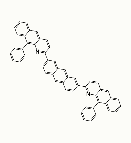 c1ccc(-c2c3ccccc3cc3ccc(-c4ccc5cc6ccc(-c7ccc8cc9ccccc9c(-c9ccccc9)c8n7)cc6cc5c4)nc23)cc1